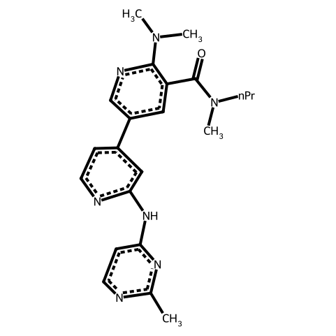 CCCN(C)C(=O)c1cc(-c2ccnc(Nc3ccnc(C)n3)c2)cnc1N(C)C